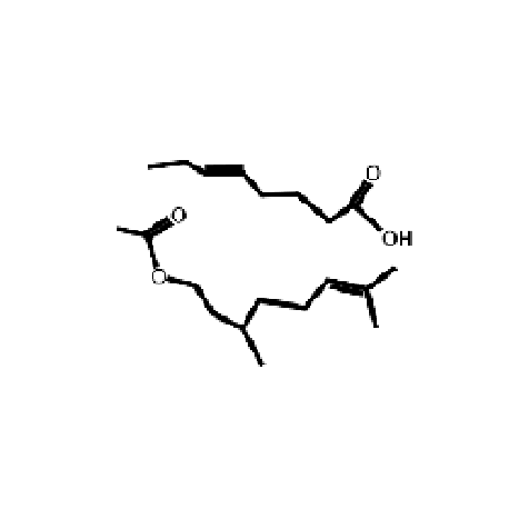 CC(=O)OCCC(C)CCC=C(C)C.CCC=CCCCC(=O)O